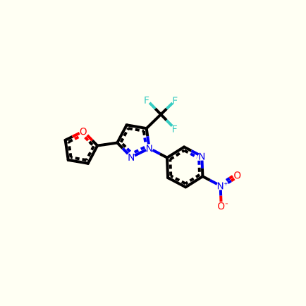 O=[N+]([O-])c1ccc(-n2nc(-c3ccco3)cc2C(F)(F)F)cn1